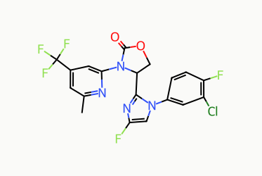 Cc1cc(C(F)(F)F)cc(N2C(=O)OCC2c2nc(F)cn2-c2ccc(F)c(Cl)c2)n1